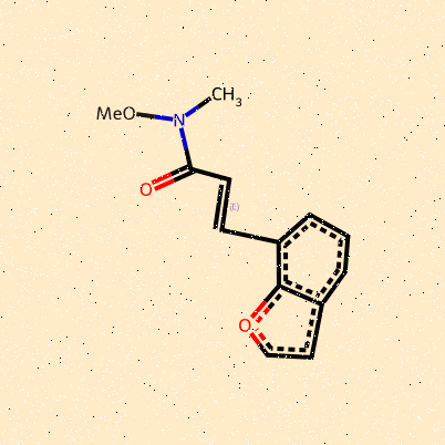 CON(C)C(=O)/C=C/c1cccc2ccoc12